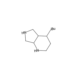 CCC(C)C1CCNC2CNCC21